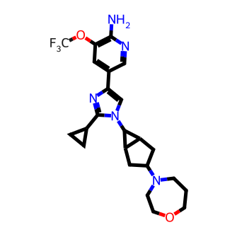 Nc1ncc(-c2cn(C3C4CC(N5CCCOCC5)CC43)c(C3CC3)n2)cc1OC(F)(F)F